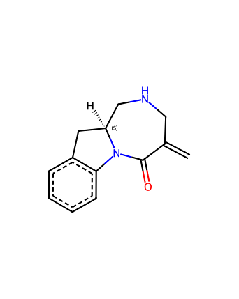 C=C1CNC[C@@H]2Cc3ccccc3N2C1=O